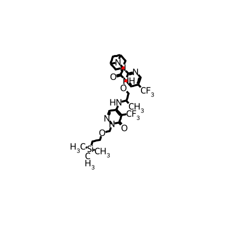 CC(CONC(=O)CN1C2CC1CN(c1ncc(C(F)(F)F)cn1)C2)Nc1cnn(COCC[Si](C)(C)C)c(=O)c1C(F)(F)F